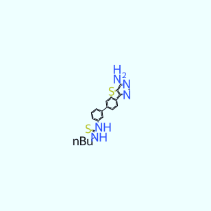 CCCCNC(=S)Nc1cccc(-c2ccc3c(c2)sc2c(N)ncnc23)c1